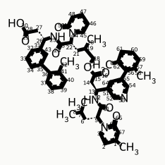 Cc1ccn([C@H](CC(C)C)C(=O)N[C@@H](CC(=O)OCC(C)C[C@H](C(=O)N[C@@H](CC(=O)O)c2cccc(-c3ccccc3C)c2)n2ccccc2=O)c2cncc(-c3c(C)cccc3C)c2)c(=O)c1